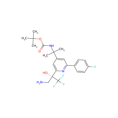 CC(C)(C)OC(=O)NC(C)(C)c1cc(-c2ccc(F)cc2)nc([C@](O)(CN)C(F)(F)F)c1